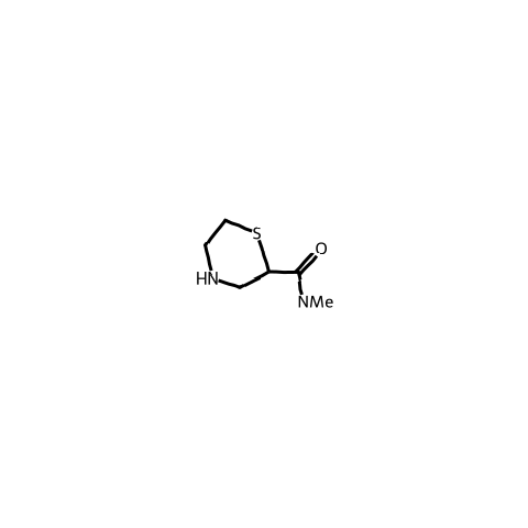 CNC(=O)C1CNCCS1